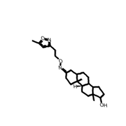 Cc1cc(CCON=C2CCC3(C)C(CCC4C5CCC(O)C5(C)CC[C@@H]43)C2)no1